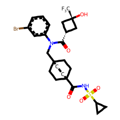 O=C(NS(=O)(=O)C1CC1)C12CCC(CN(c3cccc(Br)c3)C(=O)[C@H]3C[C@](O)(C(F)(F)F)C3)(CC1)CC2